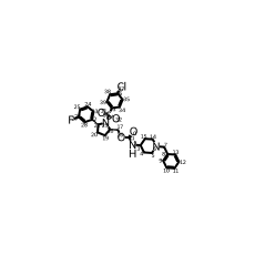 O=C(NC1CCN(Cc2ccccc2)CC1)OC[C@H]1CC[C@@H](c2cccc(F)c2)N1S(=O)(=O)c1ccc(Cl)cc1